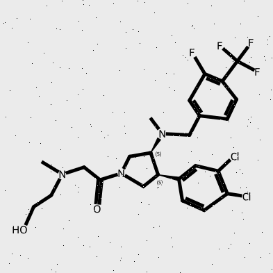 CN(CCO)CC(=O)N1C[C@H](c2ccc(Cl)c(Cl)c2)[C@H](N(C)Cc2ccc(C(F)(F)F)c(F)c2)C1